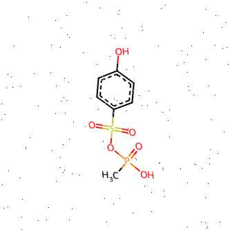 CP(=O)(O)OS(=O)(=O)c1ccc(O)cc1